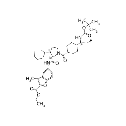 CCOC(=O)c1oc2ccc(NC(=O)[C@@H]3[C@H](C4CCCCC4)CCN3C(=O)[C@H]3CC[C@H]([C@@H](CF)NC(=O)OC(C)(C)C)CC3)cc2c1C